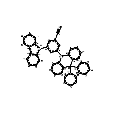 N#Cc1cc(N2c3ccccc3C(c3ccccc3)(c3ccccc3)c3ccccc32)cc(-n2c3ccccc3c3ccccc32)c1